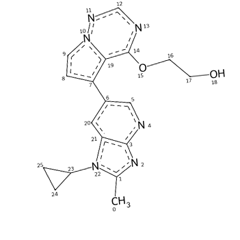 Cc1nc2ncc(-c3ccn4ncnc(OCCO)c34)cc2n1C1CC1